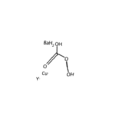 O=C(O)OO.[BaH2].[Cu].[Y]